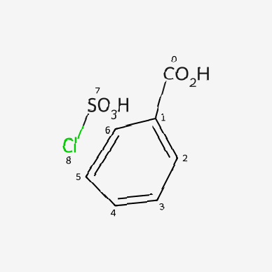 O=C(O)c1ccccc1.O=S(=O)(O)Cl